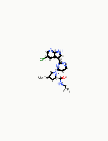 COC1C[C@H](C(=O)NCC(F)(F)F)N(c2ccnc(-c3c[nH]c4ncc(Cl)cc34)n2)C1